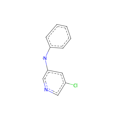 Clc1cncc([N]c2ccccc2)c1